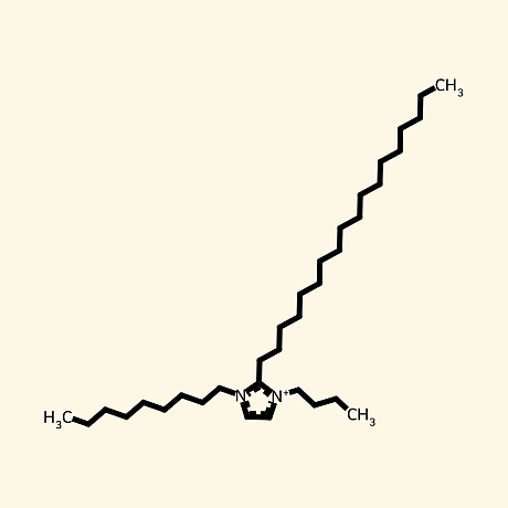 CCCCCCCCCCCCCCCCCCc1n(CCCCCCCCC)cc[n+]1CCCC